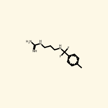 Cc1ccc(C(F)(F)NCCCNC(=N)N)cc1